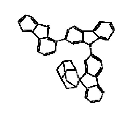 c1ccc2c(c1)-c1ccc(-n3c4ccccc4c4ccc(-c5cccc6c5sc5ccccc56)cc43)cc1C21C2CC3CC(C2)CC1C3